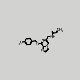 C=CC(=O)NCc1cn2ccnc2c(OCc2ccc(C(F)(F)F)cc2)n1